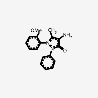 COc1ccccc1-n1c(C)c(N)c(=O)n1-c1ccccc1